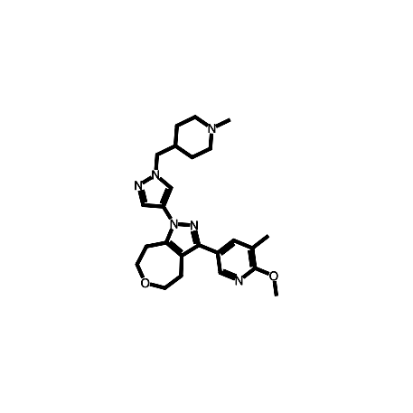 COc1ncc(-c2nn(-c3cnn(CC4CCN(C)CC4)c3)c3c2CCOCC3)cc1C